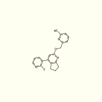 N#Cc1cccc(COc2cc(-c3cccnc3F)c3c(n2)CCC3)n1